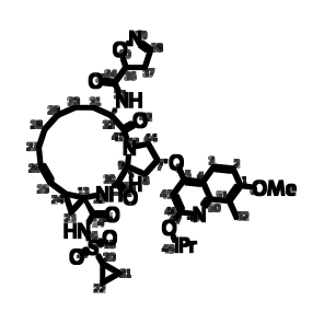 COc1ccc2c(O[C@@H]3C[C@H]4C(=O)N[C@]5(C(=O)NS(=O)(=O)C6CC6)CC5/C=C\CCCCC[C@H](NC(=O)C5CC=NO5)C(=O)N4C3)cc(OC(C)C)nc2c1C